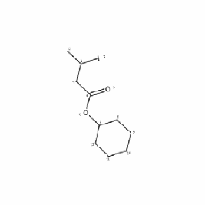 CC(I)CC(=O)OC1CCCCC1